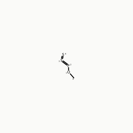 COP=S=S